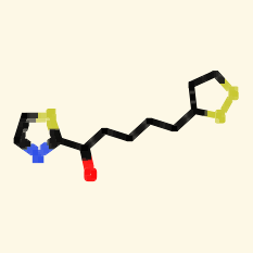 O=C(CCCCC1CCSS1)c1nccs1